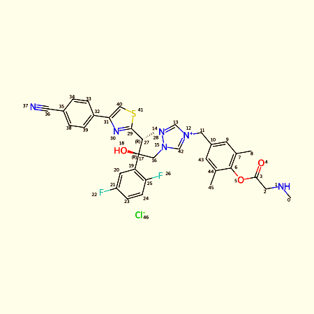 CNCC(=O)Oc1c(C)cc(C[n+]2cnn(C[C@](O)(c3cc(F)ccc3F)[C@@H](C)c3nc(-c4ccc(C#N)cc4)cs3)c2)cc1C.[Cl-]